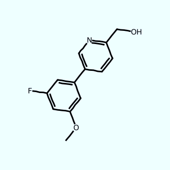 COc1cc(F)cc(-c2ccc(CO)nc2)c1